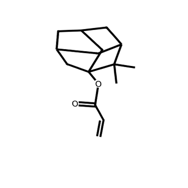 C=CC(=O)OC12CC3CC(CC(C3)C1(C)C)C2